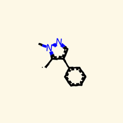 [CH2]c1c(-c2ccccc2)cnn1C